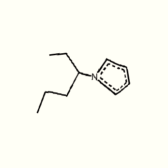 CCCC(CC)n1cccc1